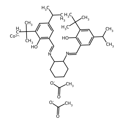 CC(=O)[O-].CC(=O)[O-].CC(C)c1cc(C=NC2CCCCC2N=Cc2cc(C(C)C)cc(C(C)(C)C)c2O)c(O)c(C(C)(C)C)c1.[Co+2]